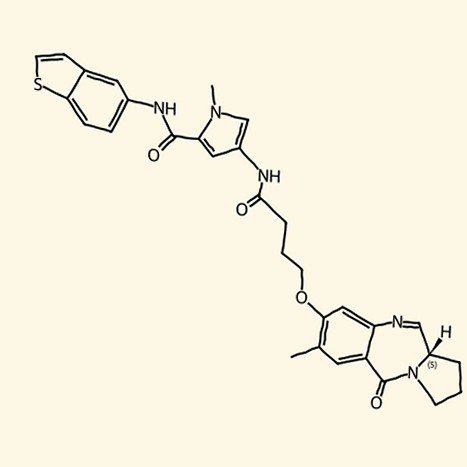 Cc1cc2c(cc1OCCCC(=O)Nc1cc(C(=O)Nc3ccc4sccc4c3)n(C)c1)N=C[C@@H]1CCCN1C2=O